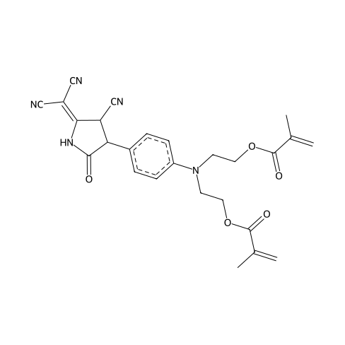 C=C(C)C(=O)OCCN(CCOC(=O)C(=C)C)c1ccc(C2C(=O)NC(=C(C#N)C#N)C2C#N)cc1